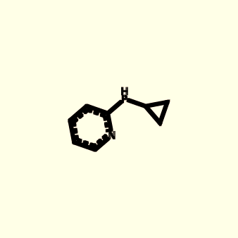 c1ccc(PC2CC2)nc1